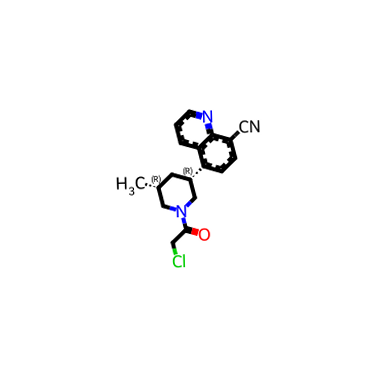 C[C@@H]1C[C@H](c2ccc(C#N)c3ncccc23)CN(C(=O)CCl)C1